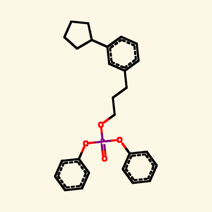 O=P(OCCCc1cccc(C2CCCC2)c1)(Oc1ccccc1)Oc1ccccc1